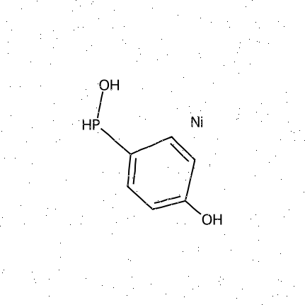 OPc1ccc(O)cc1.[Ni]